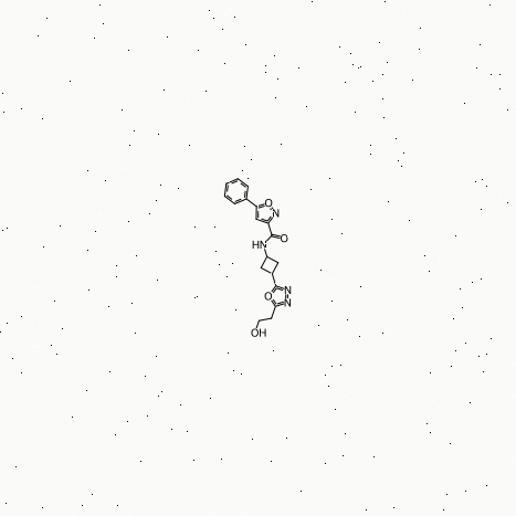 O=C(NC1CC(c2nnc(CCO)o2)C1)c1cc(-c2ccccc2)on1